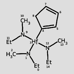 CC[N](C)[Hf]([C]1=CC=CC1)([N](C)CC)[N](C)CC